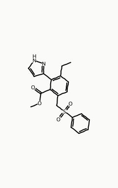 CCc1ccc(CS(=O)(=O)c2ccccc2)c(C(=O)OC)c1-c1cc[nH]n1